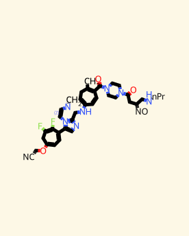 C=N/C=C\n1c(C2=CC=C(OCC#N)CC(F)=C2F)cnc1CNC1=CCC(C)=C(C(=O)N2CCN(C(=O)CC(CNCCC)N=O)CC2)C=C1